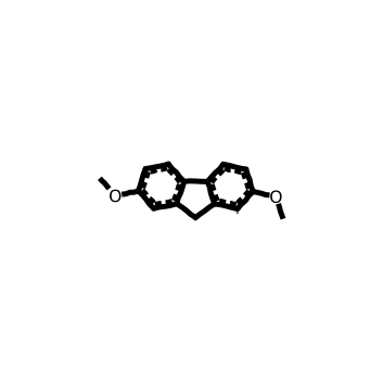 COc1[c]c2c(cc1)-c1ccc(OC)cc1C2